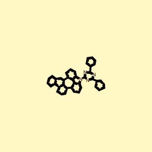 c1ccc(-c2nc(-c3ccccc3)nc(-n3c4cccc5c4c4c(cccc43)-c3cc4ccccc4c4cccc-5c34)n2)cc1